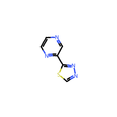 [c]1cncc(-c2nncs2)n1